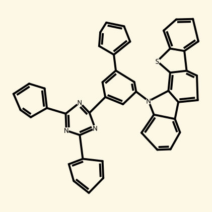 c1ccc(-c2cc(-c3nc(-c4ccccc4)nc(-c4ccccc4)n3)cc(-n3c4ccccc4c4ccc5c6ccccc6sc5c43)c2)cc1